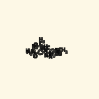 Cc1cc(C(C)Oc2cc(C(N)=O)ccc2Nc2ncnc3cc(N=S(C)(C)=O)cc(C)c23)on1